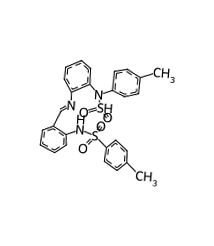 Cc1ccc(N(c2ccccc2N=Cc2ccccc2NS(=O)(=O)c2ccc(C)cc2)[SH](=O)=O)cc1